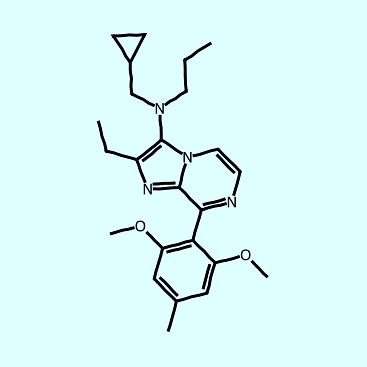 CCCN(CC1CC1)c1c(CC)nc2c(-c3c(OC)cc(C)cc3OC)nccn12